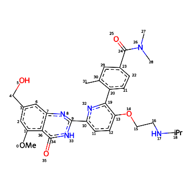 COc1cc(CO)cc2nc(-c3ccc(OCCNC(C)C)c(-c4ccc(C(=O)N(C)C)cc4C)n3)[nH]c(=O)c12